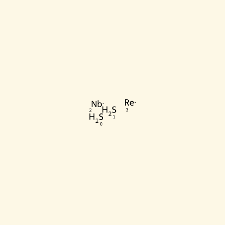 S.S.[Nb].[Re]